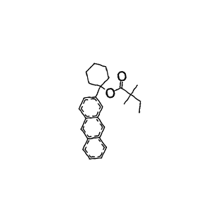 CCC(C)(C)C(=O)OC1(c2ccc3cc4ccccc4cc3c2)CCCCC1